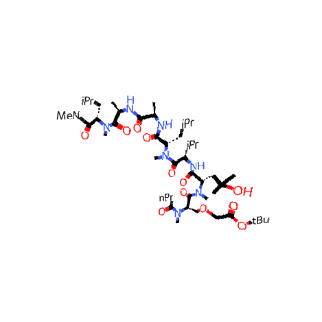 CCCC(=O)N(C)[C@H](COCC(=O)OC(C)(C)C)C(=O)N(C)[C@@H](CC(C)(C)O)C(=O)N[C@H](C(=O)N(C)[C@@H](CC(C)C)C(=O)N[C@H](C)C(=O)N[C@H](C)C(=O)N(C)[C@@H](CC(C)C)C(=O)NC)C(C)C